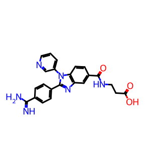 N=C(N)c1ccc(-c2nc3cc(C(=O)NCCC(=O)O)ccc3n2-c2cccnc2)cc1